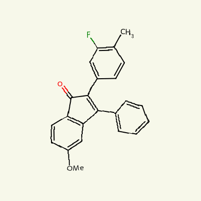 COc1ccc2c(c1)C(c1ccccc1)=C(c1ccc(C)c(F)c1)C2=O